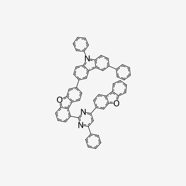 c1ccc(-c2ccc3c(c2)c2cc(-c4ccc5c(c4)oc4cccc(-c6nc(-c7ccccc7)cc(-c7ccc8c(c7)oc7ccccc78)n6)c45)ccc2n3-c2ccccc2)cc1